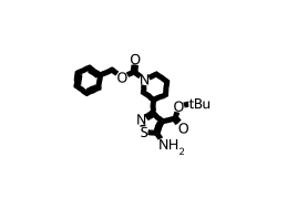 CC(C)(C)OC(=O)c1c(C2CCCN(C(=O)OCc3ccccc3)C2)nsc1N